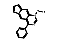 CCOn1cnc(-c2ccccc2)c2cc3cccc3cc21